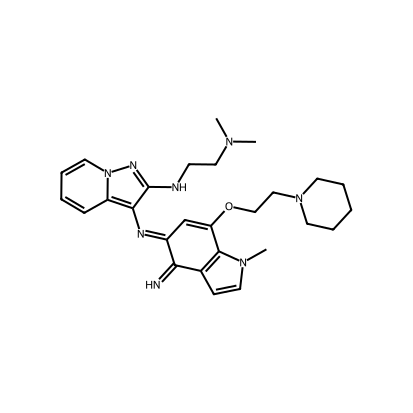 CN(C)CCNc1nn2ccccc2c1N=C1C=C(OCCN2CCCCC2)c2c(ccn2C)C1=N